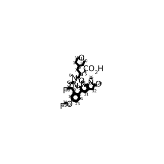 CN(C(=O)[C@@H](CC(=O)O)CC1CCOCC1)c1nc(-c2cc(OCF)ccc2-c2cnc3c(c2)CC(=O)N3C)c(F)s1